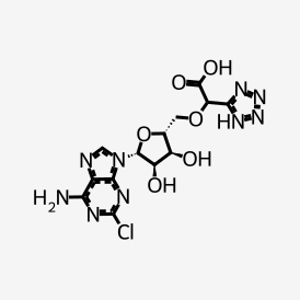 Nc1nc(Cl)nc2c1ncn2[C@@H]1O[C@H](COC(C(=O)O)c2nnn[nH]2)[C@@H](O)[C@H]1O